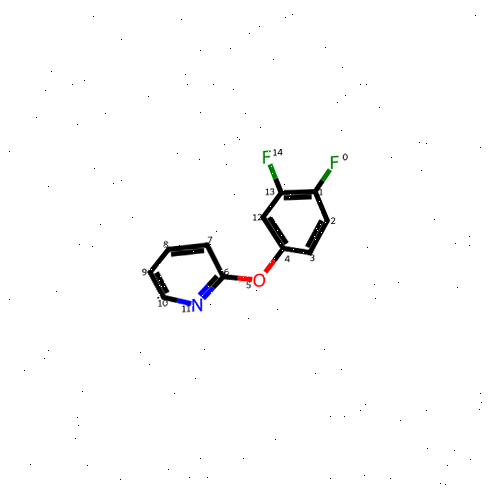 Fc1ccc(Oc2ccc[c]n2)cc1F